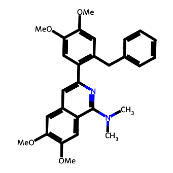 COc1cc(Cc2ccccc2)c(-c2cc3cc(OC)c(OC)cc3c(N(C)C)n2)cc1OC